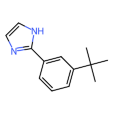 CC(C)(C)c1cccc(-c2ncc[nH]2)c1